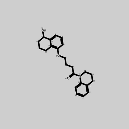 O=C(CCCOc1cccc2c1CCCC2O)N1CCCc2ccccc21